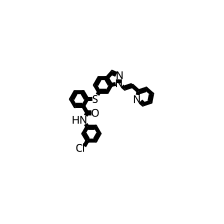 O=C(Nc1cccc(Cl)c1)c1ccccc1Sc1ccc2cnn(C=Cc3ccccn3)c2c1